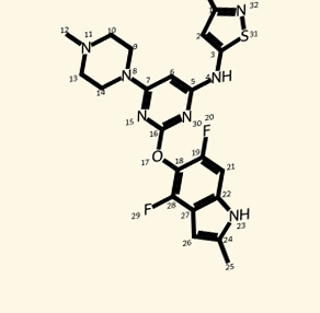 Cc1cc(Nc2cc(N3CCN(C)CC3)nc(Oc3c(F)cc4[nH]c(C)cc4c3F)n2)sn1